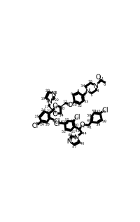 CC(=O)N1CCN(c2ccc(OC[C@H]3CO[C@](Cn4ccnc4)(c4ccc(Cl)cc4Cl)O3)cc2)CC1.Clc1ccc(COC(Cn2ccnc2)c2ccc(Cl)cc2Cl)cc1